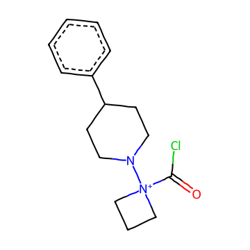 O=C(Cl)[N+]1(N2CCC(c3ccccc3)CC2)CCC1